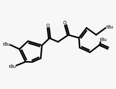 C=C(/C=C\C(=C/CC(C)(C)C)C(=O)CC(=O)c1ccc(C(C)(C)C)c(C(C)(C)C)c1)C(C)(C)C